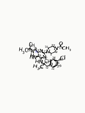 CC(=O)N1CCN(C2=N/C(=C/NC(C)C)C(=N)C(NC(C)(C)Cc3ccc(Cl)cc3)=N2)CC1